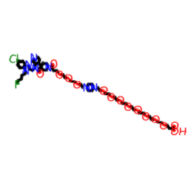 O=C(O)CCOCCOCCOCCOCCOCCOCCOCCOCCN1CCN(CCOCCOCCOCCC(=O)N2CCC3(CC2)C(=O)N(Cc2nc4cc(Cl)ccc4n2CCCCF)c2cnccc23)CC1